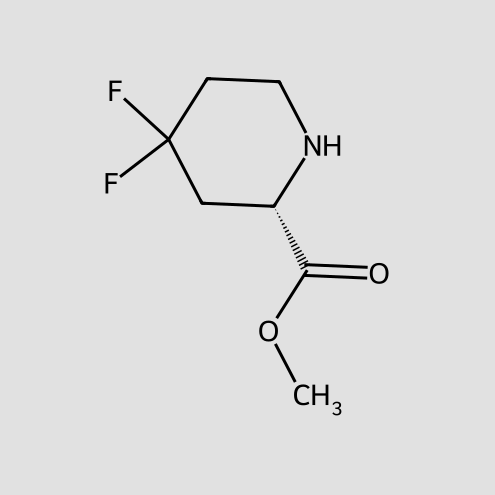 COC(=O)[C@@H]1CC(F)(F)CCN1